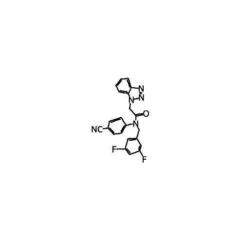 N#Cc1ccc(N(Cc2cc(F)cc(F)c2)C(=O)Cn2nnc3ccccc32)cc1